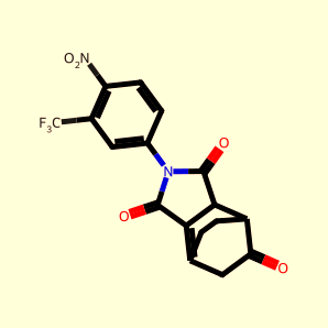 O=C1CC2=C3C(=O)N(c4ccc([N+](=O)[O-])c(C(F)(F)F)c4)C(=O)C3C1CC2